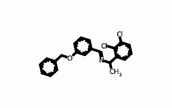 CC(/N=C/c1cccc(OCc2ccccc2)c1)c1cccc(Cl)c1Cl